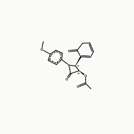 COc1ccc(N2C(=O)[C@H](OC(C)=O)[C@@H]2C2=CC=CCC2=S)cc1